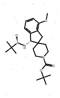 COc1cccc2c1CC1(CCN(C(=O)OC(C)(C)C)CC1)[C@@H]2N[S@+]([O-])C(C)(C)C